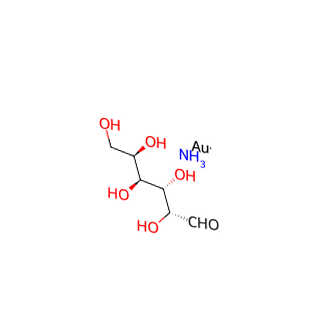 N.O=C[C@H](O)[C@@H](O)[C@@H](O)[C@H](O)CO.[Au]